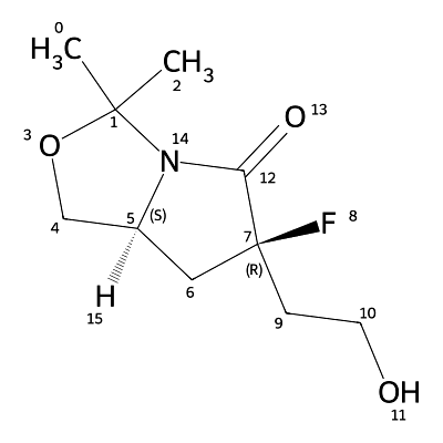 CC1(C)OC[C@@H]2C[C@@](F)(CCO)C(=O)N21